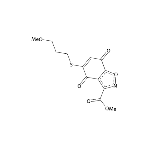 COCCCSC1=CC(=O)c2onc(C(=O)OC)c2C1=O